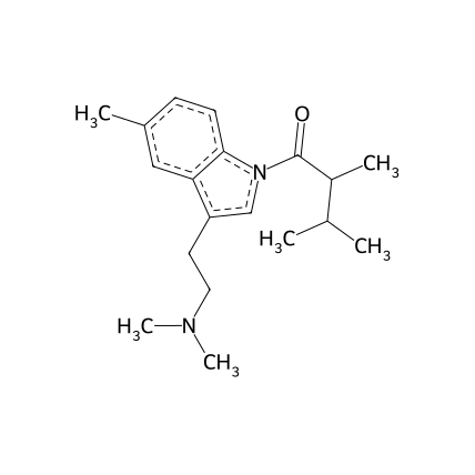 Cc1ccc2c(c1)c(CCN(C)C)cn2C(=O)C(C)C(C)C